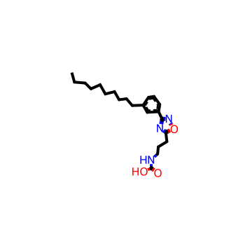 CCCCCCCCCCc1cccc(-c2noc(CCCNC(=O)O)n2)c1